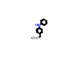 O=CCc1ccc(Nc2ccccc2)cc1